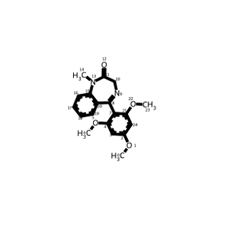 COc1cc(OC)c(C2=NCC(=O)N(C)c3ccccc32)c(OC)c1